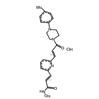 CC(C)(C)c1ccc(N2CCN(C(=O)/C=C/c3cccc(/C=C/C(=O)NO)n3)CC2)cc1.Cl